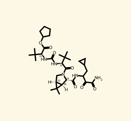 CC(C)(C)[C@H](NC(=O)N[C@H](C(=O)N1C[C@H]2[C@@H]([C@H]1C(=O)NC(CC1CC1)C(=O)C(N)=O)C2(C)C)C(C)(C)C)C(=O)OC1CCCC1